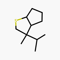 CC(C)C1(C)CSC2CCCC21